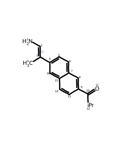 C/C(=C\N)c1ccc2cc(C(=O)C(C)C)ccc2c1